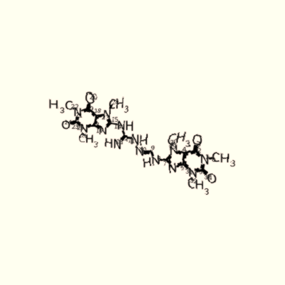 Cn1c(=O)c2c(nc(N/C=N/NC(=N)Nc3nc4c(c(=O)n(C)c(=O)n4C)n3C)n2C)n(C)c1=O